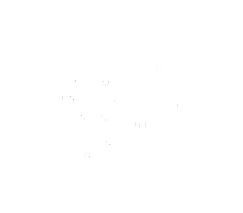 CCCCC(C)CC/C(F)=C\NC(C)C(C(=O)NC1CNCC(F)C1N1CCNCC1)C(N)N